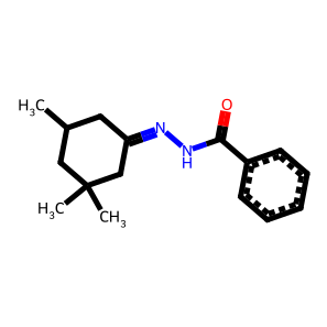 CC1CC(=NNC(=O)c2ccccc2)CC(C)(C)C1